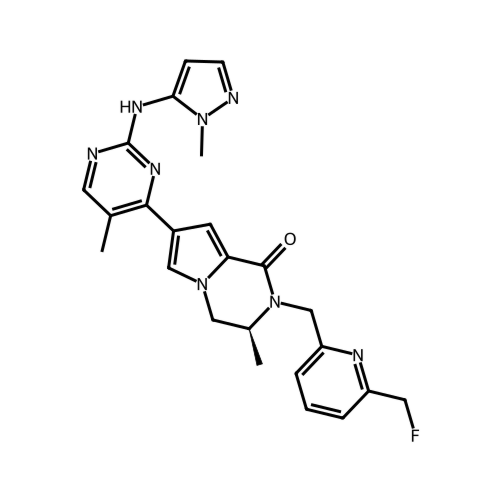 Cc1cnc(Nc2ccnn2C)nc1-c1cc2n(c1)C[C@H](C)N(Cc1cccc(CF)n1)C2=O